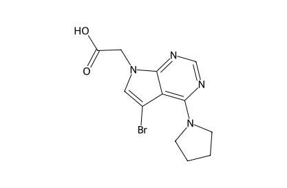 O=C(O)Cn1cc(Br)c2c(N3CCCC3)ncnc21